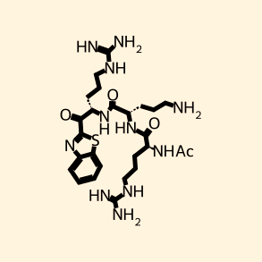 CC(=O)N[C@H](CCCNC(=N)N)C(=O)N[C@@H](CCCN)C(=O)N[C@@H](CCCNC(=N)N)C(=O)c1nc2ccccc2s1